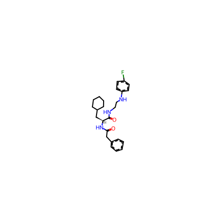 O=C(Cc1ccccc1)N[C@@H](CC1CCCCC1)C(=O)NCCNc1ccc(F)cc1